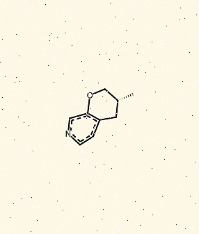 C[C@H]1COc2cnccc2C1